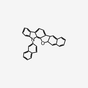 C1=c2ccccc2=CC2c3ccc4c5ccccc5n(-c5ccc6ccccc6c5)c4c3OC12